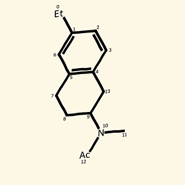 CCc1ccc2c(c1)CCC(N(C)C(C)=O)C2